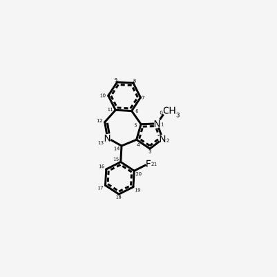 Cn1ncc2c1-c1ccccc1C=NC2c1ccccc1F